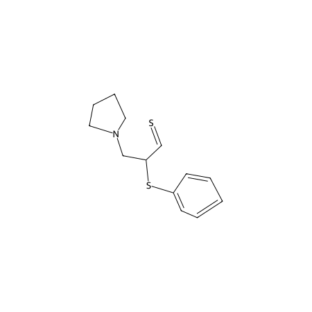 S=CC(CN1CCCC1)Sc1ccccc1